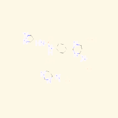 C[C@H]1COCCN1c1cc(CO)nc(-c2ccc(NC(=O)NCc3cnn(C)c3)cc2)n1.C[C@H]1COCCN1c1cc(CO)nc(Cl)n1